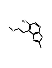 COCCc1c(N)cnc2sc(C)nc12